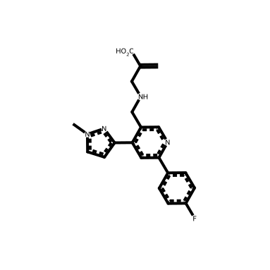 C=C(CNCc1cnc(-c2ccc(F)cc2)cc1-c1ccn(C)n1)C(=O)O